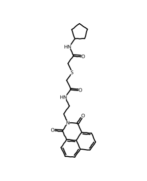 O=C(CSCC(=O)NC1CCCC1)NCCN1C(=O)c2cccc3cccc(c23)C1=O